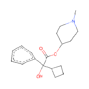 CN1CCC(OC(=O)C(O)(c2ccccc2)C2CCC2)CC1